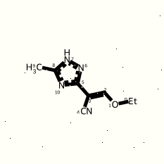 CCOC=C(C#N)c1n[nH]c(C)n1